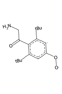 CC(C)(C)c1[c]c(O[O])cc(C(C)(C)C)c1C(=O)CN